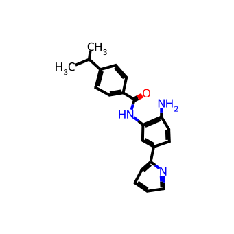 CC(C)c1ccc(C(=O)Nc2cc(-c3ccccn3)ccc2N)cc1